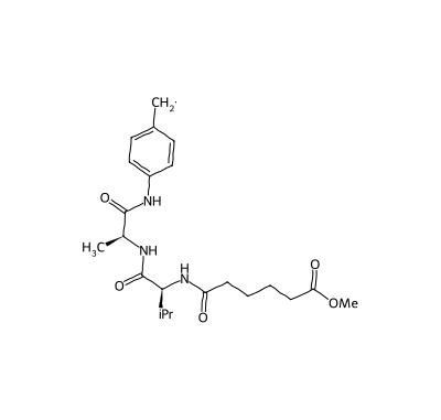 [CH2]c1ccc(NC(=O)[C@H](C)NC(=O)[C@@H](NC(=O)CCCCC(=O)OC)C(C)C)cc1